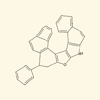 c1ccc(C2Cc3oc4[nH]c5ccc6ccccc6c5c4c3-c3c2ccc2ccccc32)cc1